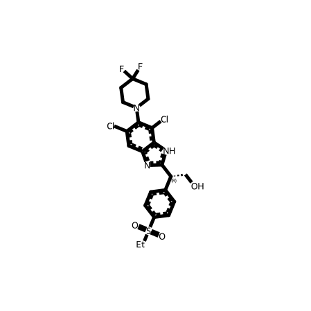 CCS(=O)(=O)c1ccc([C@@H](CO)c2nc3cc(Cl)c(N4CCC(F)(F)CC4)c(Cl)c3[nH]2)cc1